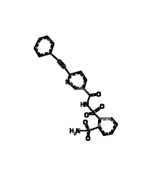 NS(=O)(=O)c1ccccc1S(=O)(=O)NC(=O)c1ccc(C#Cc2ccccc2)nc1